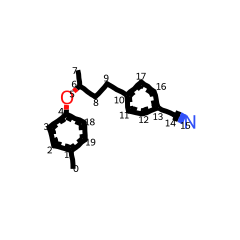 Cc1ccc(OC(C)CCc2ccc(C#N)cc2)cc1